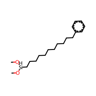 CO[SiH](CCCCCCCCCCCc1ccccc1)OC